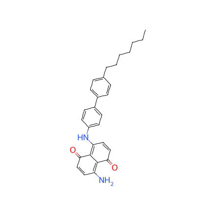 CCCCCCCc1ccc(-c2ccc(NC3=C4C(=O)C=CC(N)=C4C(=O)C=C3)cc2)cc1